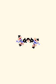 Cc1cc(N(C(=O)OC(C)(C)C)C(N)=NC(=O)OC(C)(C)C)cc(C)c1-c1ccc(-c2c(C)cc(N(C(=O)OC(C)(C)C)C(N)=NC(=O)OC(C)(C)C)cc2C)o1